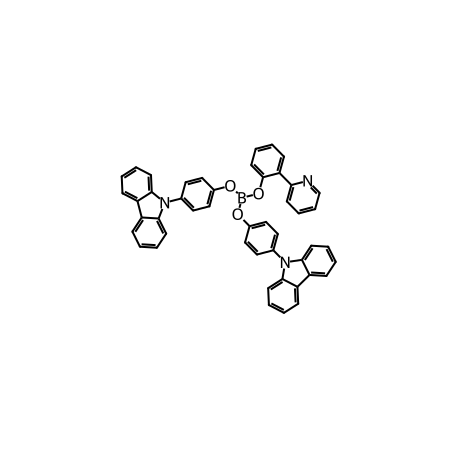 c1ccc(-c2ccccc2OB(Oc2ccc(-n3c4ccccc4c4ccccc43)cc2)Oc2ccc(-n3c4ccccc4c4ccccc43)cc2)nc1